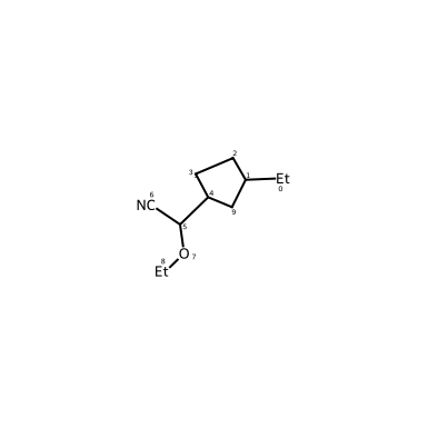 [CH2]CC1C[CH]C(C(C#N)OCC)C1